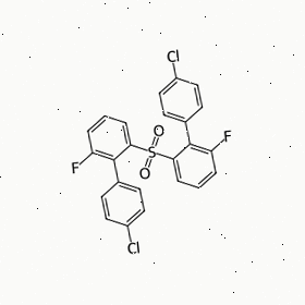 O=S(=O)(c1cccc(F)c1-c1ccc(Cl)cc1)c1cccc(F)c1-c1ccc(Cl)cc1